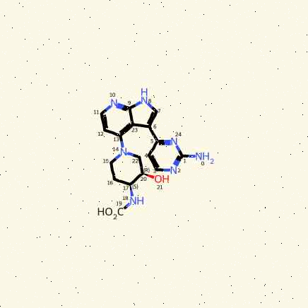 Nc1nccc(-c2c[nH]c3nccc(N4CC[C@H](NC(=O)O)[C@H](O)C4)c23)n1